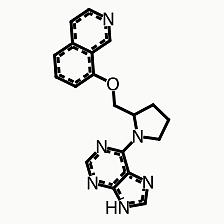 c1cc(OCC2CCCN2c2ncnc3[nH]cnc23)c2cnccc2c1